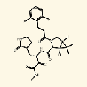 CNC(=O)C(=O)[C@H](C[C@@H]1CCNC1=O)NC(=O)[C@@H]1[C@@H]2[C@H](CN1C(=O)CCc1c(F)cccc1F)C2(C)C